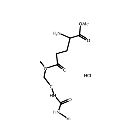 CCNC(=O)NCCN(C)C(=O)CCC(N)C(=O)OC.Cl